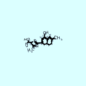 Cc1ccc2cc(-c3nc(C)c(C(=O)O)s3)cc(O)c2c1